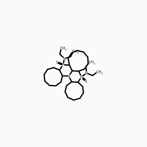 CCN(CC)P1(=S)C2CCCCCCCC2N2C3CCCCCCCC3P(=S)(N(CC)CC)C3CCCCCCCC1C32